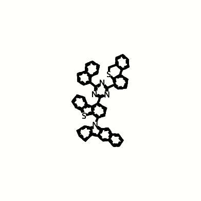 c1ccc2c(c1)CSc1c(-c3nc(-c4cccc5ccccc45)nc(-c4ccc(-n5c6ccccc6c6cc7ccccc7cc65)c5sc6ccccc6c45)n3)cccc1-2